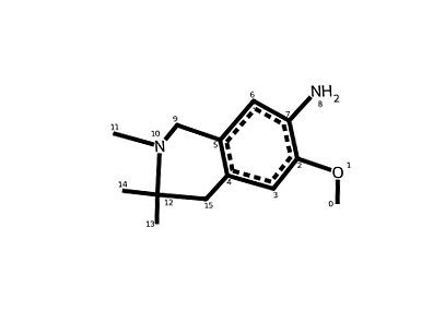 COc1cc2c(cc1N)CN(C)C(C)(C)C2